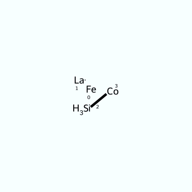 [Fe].[La].[SiH3][Co]